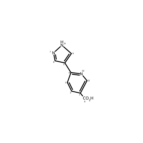 O=C(O)c1ccc(-c2cn[nH]c2)nc1